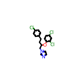 Clc1ccc(CCC(Cn2ccnc2)Oc2ccc(Cl)cc2Cl)cc1